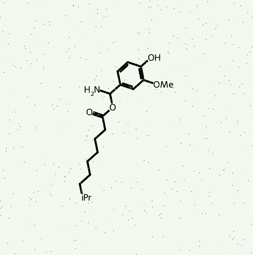 COc1cc(C(N)OC(=O)CCCCCCC(C)C)ccc1O